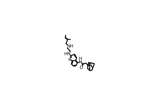 C/C=C(\C)CNCCNc1ccc2c(NC(=O)CC34CC5CC(CC(C5)C3)C4)cccc2n1